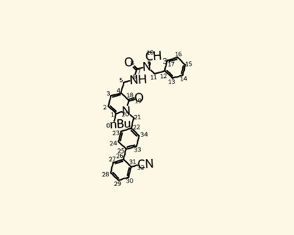 CCCCc1ccc(CNC(=O)N(C)Cc2ccccc2)c(=O)n1Cc1ccc(-c2ccccc2C#N)cc1